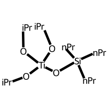 CCC[Si](CCC)(CCC)[O][Ti]([O]C(C)C)([O]C(C)C)[O]C(C)C